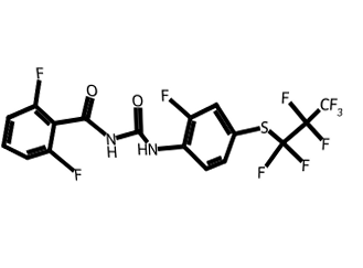 O=C(NC(=O)c1c(F)cccc1F)Nc1ccc(SC(F)(F)C(F)(F)C(F)(F)F)cc1F